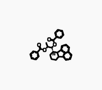 CC(OC(=O)c1ccccc1)C(OC(=O)c1ccccc1)[C@H]1CCCC2c3cccc4cccc(c34)C21